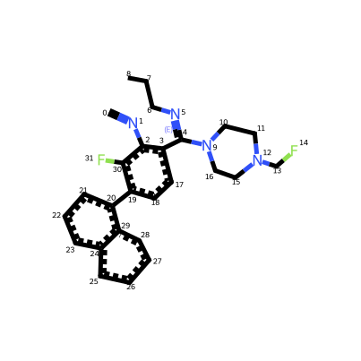 C=Nc1c(/C(=N\CCC)N2CCN(CF)CC2)ccc(-c2cccc3ccccc23)c1F